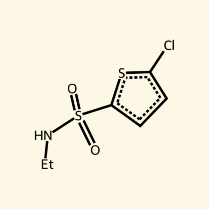 CCNS(=O)(=O)c1ccc(Cl)s1